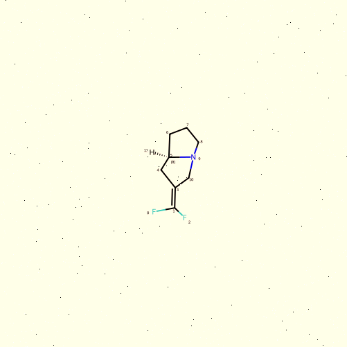 FC(F)=C1C[C@H]2CCCN2C1